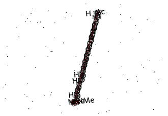 CNCc1ccc2cc3ccc(CNC)cc3[n+](CCCCCC(=O)NCCCOCCOCCOCCCNC(=O)CCCC(=O)NCCOCCOCCOCCOCCOCCOCCOCCOCCOCCOCCOCCOCCOCCOCCOCCOCCOCCOCCOCCN(C)C(C)=O)c2c1